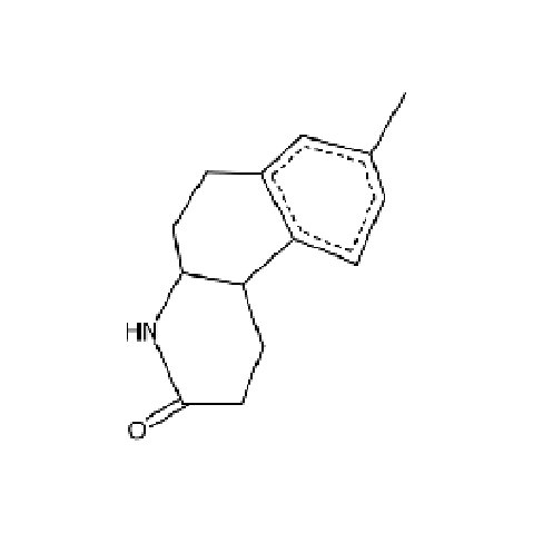 Cc1ccc2c(c1)CCC1NC(=O)CCC21